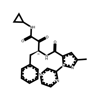 Cc1cc(C(=O)N[C@@H](Cc2ccccc2)C(=O)C(=O)NC2CC2)n(-c2cnccn2)n1